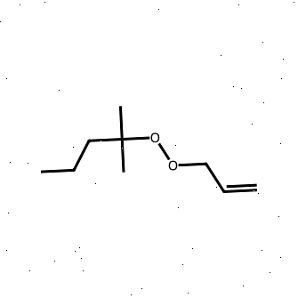 C=CCOOC(C)(C)CCC